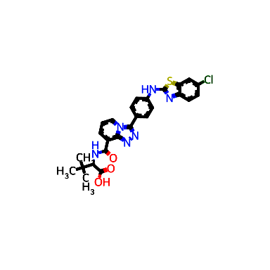 CC(C)(C)[C@H](NC(=O)c1cccn2c(-c3ccc(Nc4nc5ccc(Cl)cc5s4)cc3)nnc12)C(=O)O